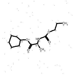 CCCOC(=O)N[C@@H](C)C(=O)OC1CCCCC1